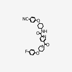 N#Cc1ccc(O[C@H]2CC[C@H](NC(=O)c3ccc(C(=O)N4CCC(Oc5ccc(F)cc5)CC4)cn3)CC2)cc1